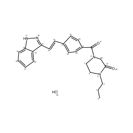 CCCN1CCN(C(=O)c2ccc(C=Cc3n[nH]c4ccccc34)cc2)CC1=O.Cl